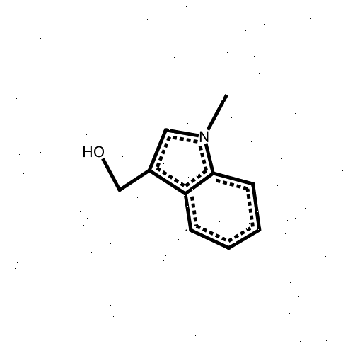 Cn1cc(CO)c2[c]cccc21